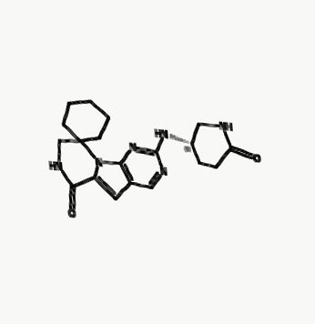 O=C1CC[C@H](Nc2ncc3cc4n(c3n2)C2(CCCCC2)CNC4=O)CN1